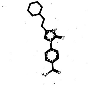 NC(=O)c1ccc(-n2cc(CCC3CCCCC3)[nH]c2=O)cc1